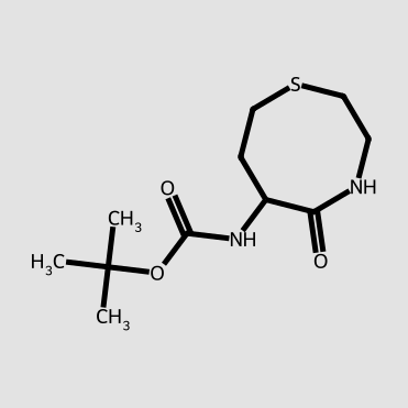 CC(C)(C)OC(=O)NC1CCSCCNC1=O